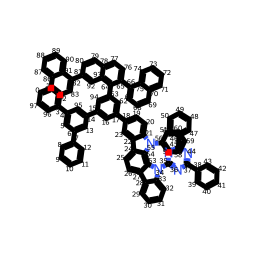 c1ccc(-c2cc(-c3ccccc3)cc(-c3cc(-c4ccc5c(c4)c4ccc6c7ccccc7n(-c7nc(-c8ccccc8)nc(-c8ccccc8)n7)c6c4n5-c4ccccc4)cc(-c4c(-c5cccc6ccccc56)ccc5ccc(-c6cccc7ccccc67)cc45)c3)c2)cc1